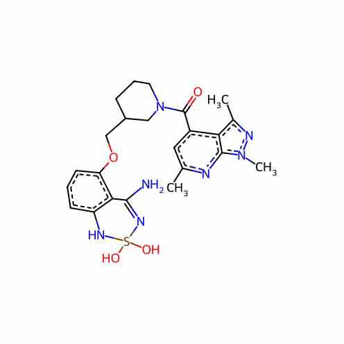 Cc1cc(C(=O)N2CCCC(COc3cccc4c3C(N)=NS(O)(O)N4)C2)c2c(C)nn(C)c2n1